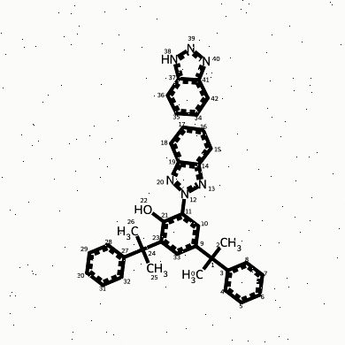 CC(C)(c1ccccc1)c1cc(-n2nc3ccccc3n2)c(O)c(C(C)(C)c2ccccc2)c1.c1ccc2[nH]nnc2c1